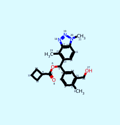 Cc1ccc(C(OC(=O)C2CCC2)c2ccc3c(nnn3C)c2C)cc1CO